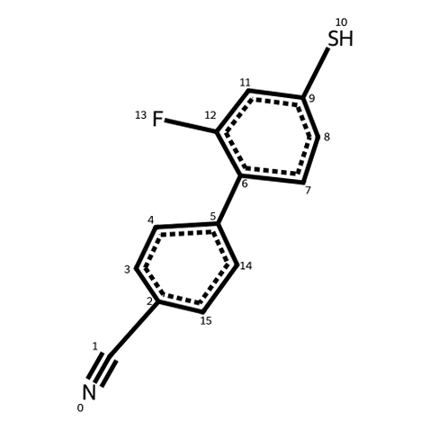 N#Cc1ccc(-c2ccc(S)cc2F)cc1